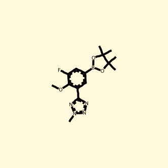 COc1c(F)cc(B2OC(C)(C)C(C)(C)O2)cc1-c1nnn(C)n1